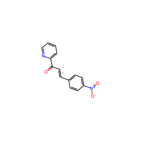 O=C(/C=C/c1ccc([N+](=O)[O-])cc1)c1ccccn1